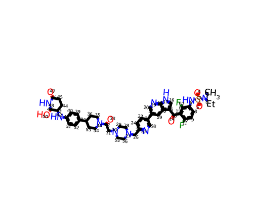 CCN(C)S(=O)(=O)Nc1ccc(F)c(C(=O)c2c[nH]c3ncc(-c4ccc(CN5CCN(CC(=O)N6CCC(c7ccc(NC8CCC(=O)NC8O)cc7)CC6)CC5)nc4)cc23)c1F